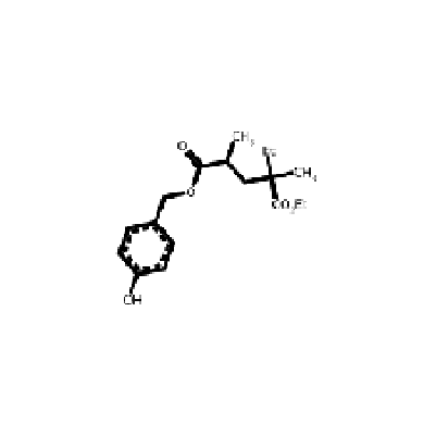 CCOC(=O)C(C)(CC)CC(C)C(=O)OCc1ccc(O)cc1